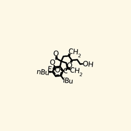 C=C(CC1(CC(=C)C(=O)OCC)C(=O)Oc2c(CCCC)cc(C(C)CC)cc21)C(=O)CCO